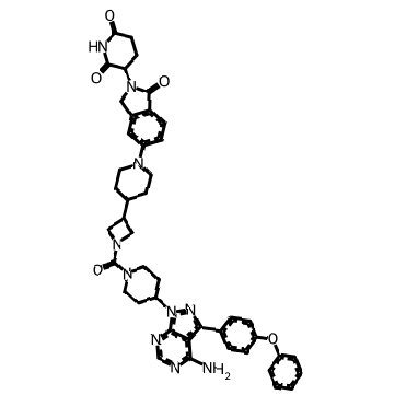 Nc1ncnc2c1c(-c1ccc(Oc3ccccc3)cc1)nn2C1CCN(C(=O)N2CC(C3CCN(c4ccc5c(c4)CN(C4CCC(=O)NC4=O)C5=O)CC3)C2)CC1